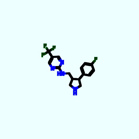 Fc1ccc(C2CNCC2CNc2ncc(C(F)(F)F)cn2)cc1